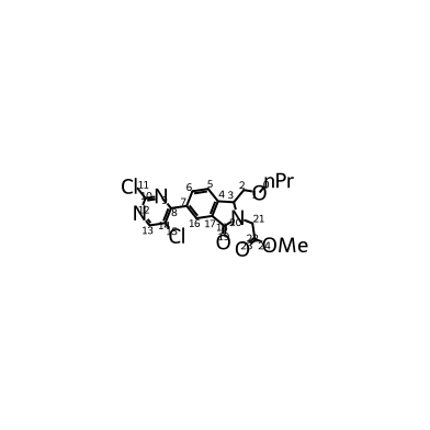 CCCOCC1c2ccc(-c3nc(Cl)ncc3Cl)cc2C(=O)N1CC(=O)OC